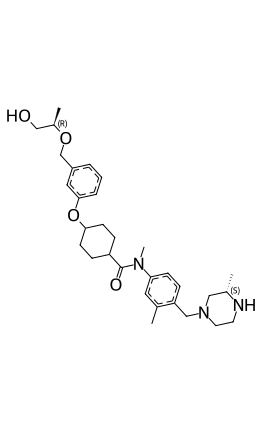 Cc1cc(N(C)C(=O)C2CCC(Oc3cccc(CO[C@H](C)CO)c3)CC2)ccc1CN1CCN[C@@H](C)C1